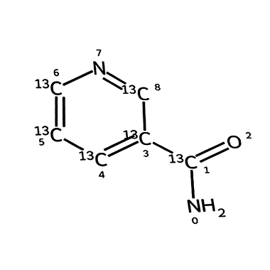 N[13C](=O)[13c]1[13cH][13cH][13cH]n[13cH]1